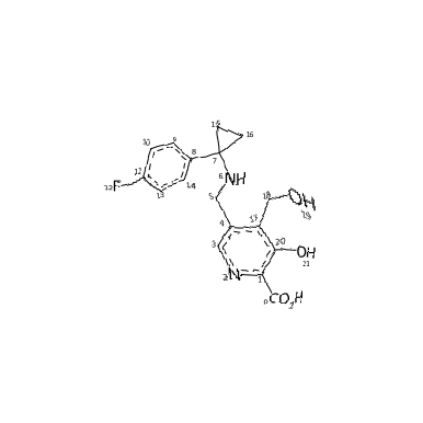 O=C(O)c1ncc(CNC2(c3ccc(F)cc3)CC2)c(CO)c1O